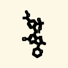 COC(C)c1ccc(Nc2cc(Cl)nc3c2nc(C)n3C2CCCCO2)c(S(C)(=O)=O)c1